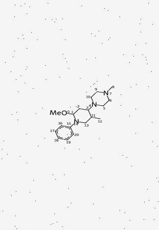 COC1CC(N2CCN(C)CC2)C(C)CN1c1ccccc1